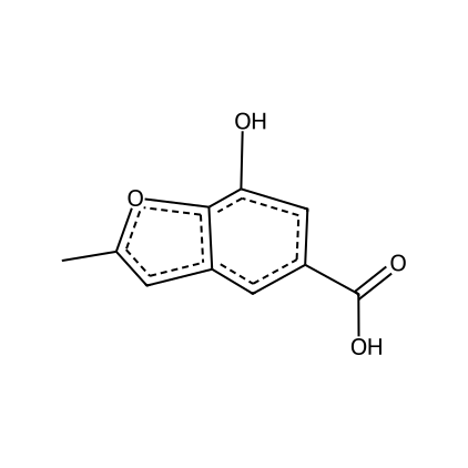 Cc1cc2cc(C(=O)O)cc(O)c2o1